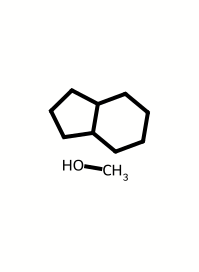 C1CCC2CCCC2C1.CO